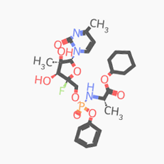 Cc1ccn([C@@H]2O[C@](F)(CO[P@@](=O)(N[C@@H](C)C(=O)OC3CCCCC3)Oc3ccccc3)[C@@H](O)[C@@]2(C)O)c(=O)n1